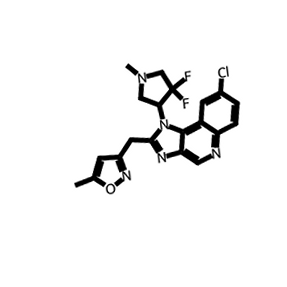 Cc1cc(Cc2nc3cnc4ccc(Cl)cc4c3n2C2CN(C)CC2(F)F)no1